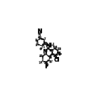 Cc1ccc(C#N)cc1Nc1nc2ccc(F)cc2c2c(Cl)nccc12